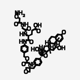 C[C@]12C=CC(=O)C=C1CC[C@@H]1[C@@H]2[C@@H](O)C[C@@]2(C)[C@H]1C[C@H]1O[C@@H](c3ccc(CC4(NC(=O)OCc5ccc(NC(=O)[C@H](CCC(=O)O)NC(=O)CNC(=O)CON)cc5)COC4)cc3)O[C@]12C(=O)CO